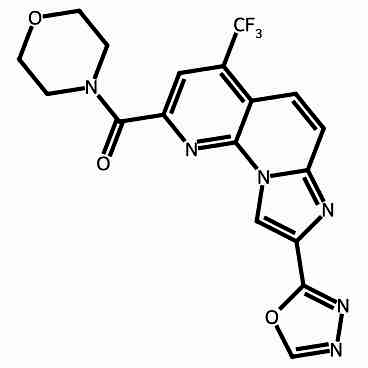 O=C(c1cc(C(F)(F)F)c2ccc3nc(-c4nnco4)cn3c2n1)N1CCOCC1